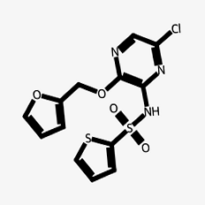 O=S(=O)(Nc1nc(Cl)cnc1OCc1ccco1)c1cccs1